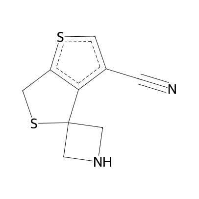 N#Cc1csc2c1C1(CNC1)SC2